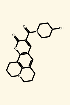 O=C(c1cc2cc3c4c(c2oc1=O)CCCN4CCC3)N1CCC(O)CC1